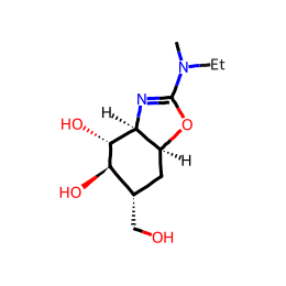 CCN(C)C1=N[C@@H]2[C@@H](O)[C@H](O)[C@@H](CO)C[C@@H]2O1